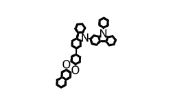 c1ccc(-n2c3ccccc3c3ccc(-n4c5ccccc5c5ccc(-c6ccc7c(c6)Oc6cc8ccccc8cc6O7)cc54)cc32)cc1